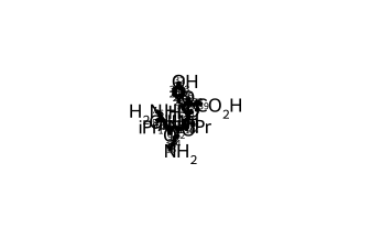 CC(C)C[C@H](NC(=O)CN)C(=O)N[C@@H](CCCCN)C(=O)N[C@@H](CC(C)C)C(=O)N[C@@H](Cc1ccc(O)cc1)C(=O)NCC(=O)O